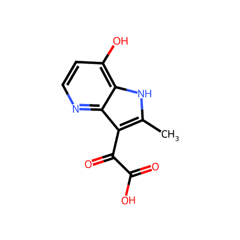 Cc1[nH]c2c(O)ccnc2c1C(=O)C(=O)O